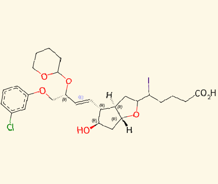 O=C(O)CCCC(I)C1C[C@@H]2[C@@H](/C=C/[C@H](COc3cccc(Cl)c3)OC3CCCCO3)[C@H](O)C[C@H]2O1